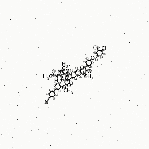 COC(=O)[C@H](Cc1ccc(-c2ccc(C#N)cc2)cc1)NC(=O)C1Cc2cc3c(cc2CN1S(=O)(=O)c1sc(NC(C)=O)nc1C)O[C@@H](c1ccc(OCc2ccc(Cl)c(Cl)c2)cc1)C(=O)N3C